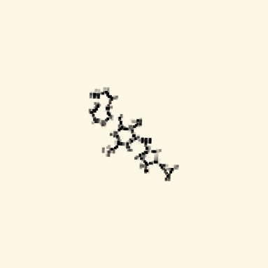 Nc1nc(Cc2cccc3[nH]ccc23)c(Cl)c(Nc2cc(C3CC3)[nH]n2)n1